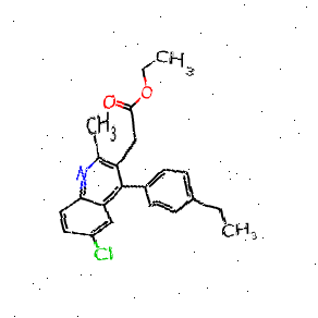 CCOC(=O)Cc1c(C)nc2ccc(Cl)cc2c1-c1ccc(CC)cc1